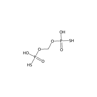 O=P(O)(S)OCOP(=O)(O)S